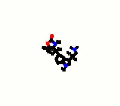 [2H]N1C(=O)OC([2H])([2H])[C@@H]1C([2H])([2H])c1ccc2c(c1)c(C([2H])([2H])CN(C)C)cn2[2H]